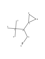 CC(C)(C)C(CF)C1CC1